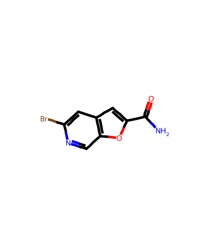 NC(=O)c1cc2cc(Br)ncc2o1